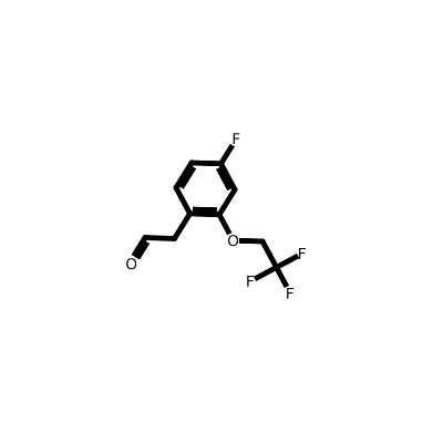 O=CCc1ccc(F)cc1OCC(F)(F)F